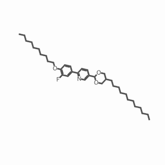 CCCCCCCCCCCCC1COC(c2ccc(-c3ccc(OCCCCCCCCCC)c(F)c3)nc2)OC1